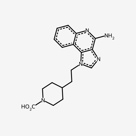 Nc1nc2ccccc2c2c1ncn2CCC1CCN(C(=O)O)CC1